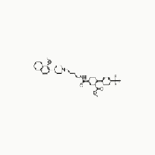 COC(=O)c1cc(C(=O)NCCCCN2CCC(c3ccc4c(c3OC)CCCC4)CC2)ccc1-c1ccc(C(F)(F)F)cc1